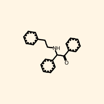 O=C(c1ccccc1)C(NCCc1ccccc1)c1ccccc1